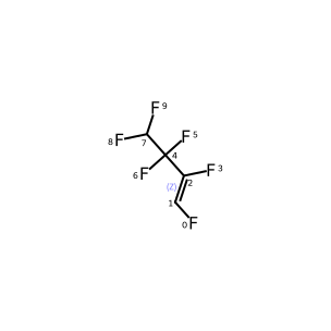 F/C=C(\F)C(F)(F)C(F)F